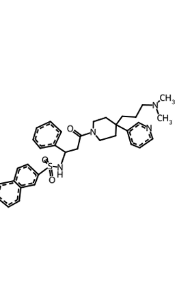 CN(C)CCCC1(c2cccnc2)CCN(C(=O)CC(NS(=O)(=O)c2ccc3ccccc3c2)c2ccccc2)CC1